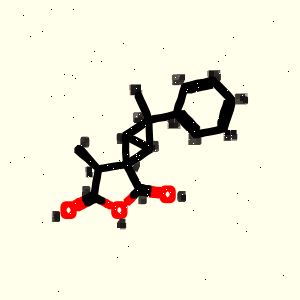 C[C@@H]1C(=O)OC(=O)C12C1C2C1(C)c1ccccc1